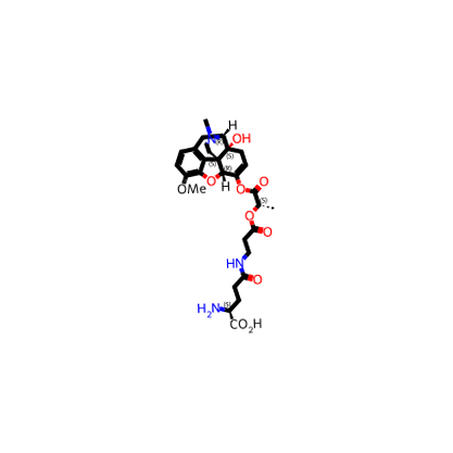 COc1ccc2c3c1O[C@H]1C(OC(=O)[C@H](C)OC(=O)CCNC(=O)CC[C@H](N)C(=O)O)=CC[C@@]4(O)[C@@H](C2)N(C)CC[C@]314